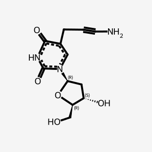 NC#CCc1cn([C@H]2C[C@H](O)[C@@H](CO)O2)c(=O)[nH]c1=O